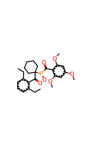 CCc1cccc(CC)c1C(=O)C1([P](=O)C(=O)c2c(OC)cc(OC)cc2OC)CCCCC1